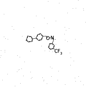 FC(F)(F)c1cccc(/[C]=N\OCc2ccc(-c3ccccc3)cc2)c1